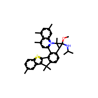 COC1(NC(C)C)C2c3ccc4c(c3-c3cc(C)c5c(C)cc(C)cc5[n+]3C21C)-c1sc2ccc(C)cc2c1C4(C)C